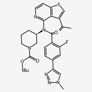 C=C(C)c1csc2ccnc(N(C(=O)c3ccc(-c4cn(C)nn4)cc3F)[C@@H]3CCCN(C(=O)OC(C)(C)C)C3)c12